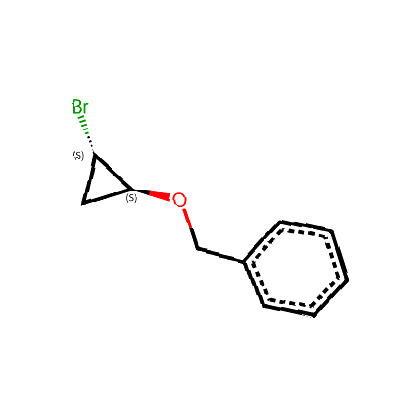 Br[C@H]1C[C@@H]1OCc1ccccc1